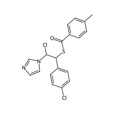 Cc1ccc(C(=O)SC(c2ccc(Cl)cc2)C(Cl)n2ccnc2)cc1